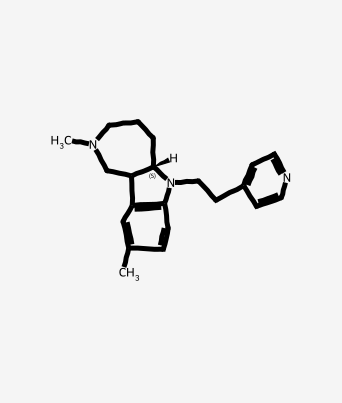 Cc1ccc2c(c1)C1CN(C)CCC[C@@H]1N2CCc1ccncc1